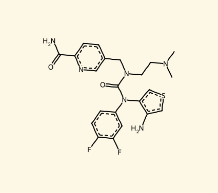 CN(C)CCN(Cc1ccc(C(N)=O)nc1)C(=O)N(c1ccc(F)c(F)c1)c1cscc1N